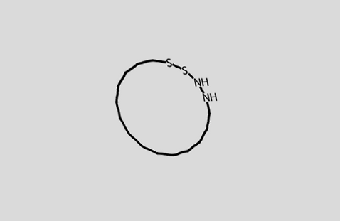 C1CCCCCCCSSNNCCCCCC1